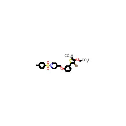 Cc1ccc(S(=O)(=O)N2CCC(COc3cccc(-c4sc(C(=O)O)c(OCC(=O)O)c4Br)c3)CC2)cc1